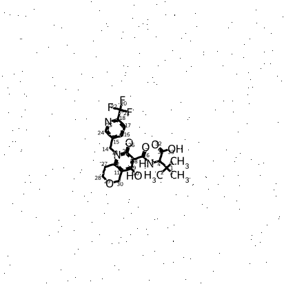 CC(C)(C)C(NC(=O)c1c(O)c2c(n(Cc3ccc(C(F)(F)F)nc3)c1=O)CCOC2)C(=O)O